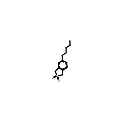 CCCCCc1ccc2c(c1)CS(=O)(=O)C2